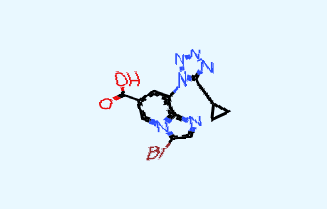 O=C(O)c1cc(-n2nnnc2C2CC2)c2ncc(Br)n2c1